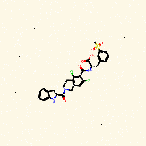 CS(=O)(=O)c1cccc(C[C@H](NC(=O)c2c(Cl)cc3c(c2Cl)CCN(C(=O)C2Cc4ccccc4N2)C3)C(=O)O)c1